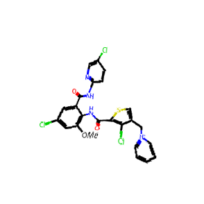 COc1cc(Cl)cc(C(=O)Nc2ccc(Cl)cn2)c1NC(=O)c1scc(C[n+]2ccccc2)c1Cl